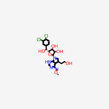 CO/N=c1\nc[nH]c2c1c(CCO)cn2[C@@H]1O[C@H](C(O)c2ccc(Cl)c(Cl)c2)[C@@H](O)[C@H]1O